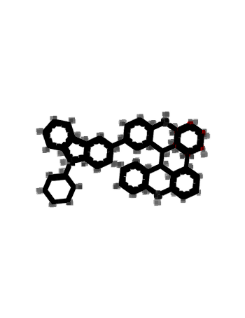 C1=CCCC(c2cccc3c2C(C2c4ccccc4Oc4ccc(-c5ccc6c(c5)c5ccccc5n6C5=CCCCC5)cc42)c2ccccc2O3)=C1